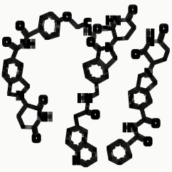 CCOc1ccc(C(=O)NC(=O)c2ccc3c(c2)CN(C2CCC(=O)NC2=O)C3)cc1.O=C(Cc1ccc2ncccc2c1)NCc1ccc2c(c1)CN(C1CCC(=O)NC1=O)C2=O.O=C1CCC(N2Cc3ccc(C(=O)NC(=O)c4ccccc4)cc3C2)C(=O)N1